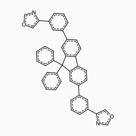 c1ccc(C2(c3ccccc3)c3cc(-c4cccc(-c5cocn5)c4)ccc3-c3ccc(-c4cccc(-c5cocn5)c4)cc32)cc1